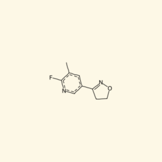 Cc1cc(C2=NOCC2)cnc1F